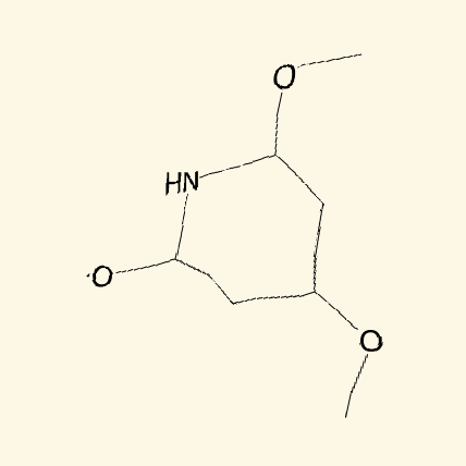 COC1CC([O])NC(OC)C1